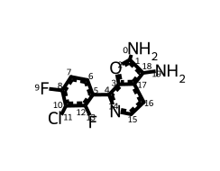 Nc1oc2c(-c3ccc(F)c(Cl)c3F)nccc2c1N